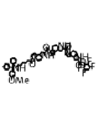 COc1ccc(C(NCCCCCC(=O)n2ccc3c4c(ccc32)NC(C(=O)n2ccc3c5c(ccc32)NC(C(=O)n2ccc3c6c(ccc32)NC(C(=O)Oc2c(F)c(F)cc(F)c2F)C6)C5)C4)(c2ccccc2)c2ccccc2)cc1